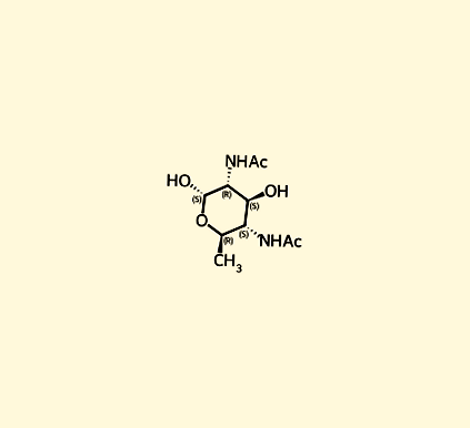 CC(=O)N[C@@H]1[C@@H](O)[C@H](NC(C)=O)[C@@H](C)O[C@@H]1O